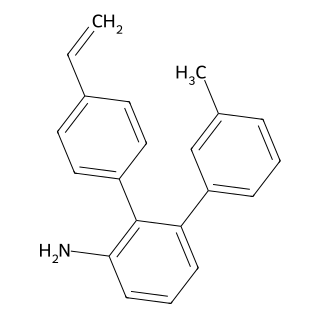 C=Cc1ccc(-c2c(N)cccc2-c2cccc(C)c2)cc1